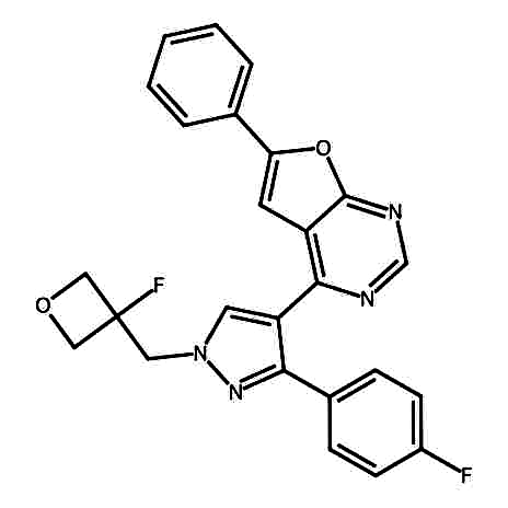 Fc1ccc(-c2nn(CC3(F)COC3)cc2-c2ncnc3oc(-c4ccccc4)cc23)cc1